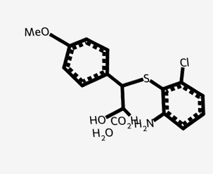 COc1ccc(C(Sc2c(N)cccc2Cl)C(O)C(=O)O)cc1.O